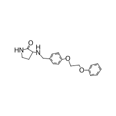 O=C1NCCC1NCc1ccc(OCCOc2ccccc2)cc1